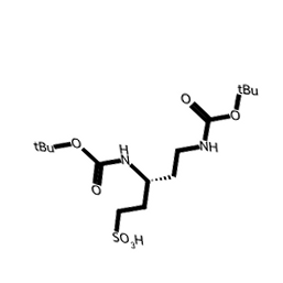 CC(C)(C)OC(=O)NCC[C@H](CCS(=O)(=O)O)NC(=O)OC(C)(C)C